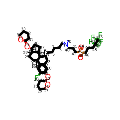 CN(CCCCC[C@@H]1Cc2cc(OC3CCCCO3)c(F)cc2[C@H]2CC[C@]3(C)[C@@H](OC4CCCCO4)CC[C@H]3[C@H]12)CCCS(=O)(=O)CCCC(F)(F)C(F)(F)F